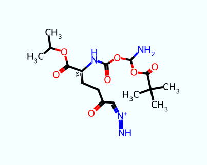 CC(C)OC(=O)[C@H](CCC(=O)C=[N+]=N)NC(=O)OC(N)OC(=O)C(C)(C)C